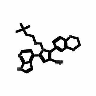 C[Si](C)(C)CCOCn1c(-c2ccnc3[nH]ccc23)cc(C(=O)O)c1-c1ccc2c(c1)OCCO2